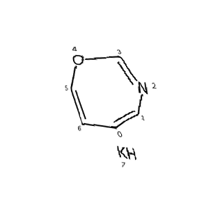 C1=CN=COC=C1.[KH]